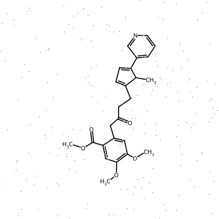 COC(=O)c1cc(OC)c(OC)cc1CC(=O)CCC1=CC=C(c2cccnc2)C1C